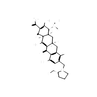 CN(C)[C@@H]1C(O)=C(C(N)=O)C(=O)[C@@]2(O)C(O)=C3C(=O)c4c(O)cc(CN5CCC[C@H]5CF)c(F)c4C[C@H]3C[C@@H]12